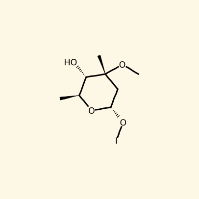 CO[C@]1(C)C[C@H](OI)O[C@@H](C)[C@@H]1O